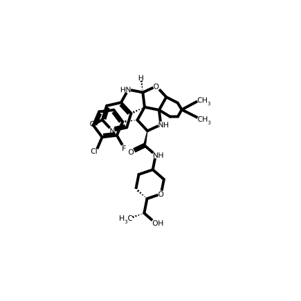 C[C@@H](O)[C@@H]1CCC(NC(=O)[C@@H]2NC34CCC(C)(C)CC3O[C@@H]3Nc5cc(Cl)ncc5[C@]34[C@H]2c2cccc(Cl)c2F)CO1